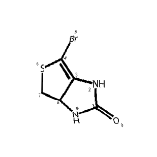 O=C1NC2=C(Br)SCC2N1